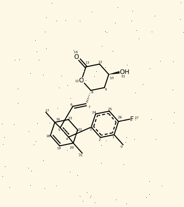 Cc1cc(C2=C(C=C[C@H]3C[C@H](O)CC(=O)O3)C3(C)C=CC2(C)CC3)ccc1F